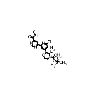 CNC(=O)c1cc(-c2cc([C@@H]3OCCN(C(=O)OC(C)(C)C)[C@H]3C)cc(Cl)n2)ncn1